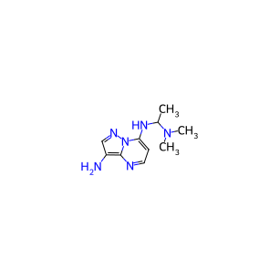 CC(Nc1ccnc2c(N)cnn12)N(C)C